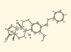 COc1cc2c(cc1OCc1ccccc1)CC[C@@H]1[C@@H]2CC[C@]2(C)C(=O)C=C[C@@H]12